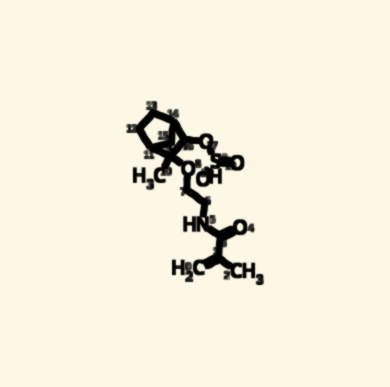 C=C(C)C(=O)NCCOC1(C)C2CCC(C2)C1O[SH](=O)=O